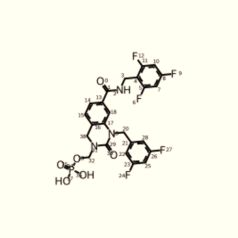 O=C(NCc1c(F)cc(F)cc1F)c1ccc2c(c1)N(Cc1cc(F)cc(F)c1)C(=O)N(COP(=O)(O)O)C2